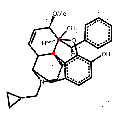 CO[C@]12C=CC3(CC1(C)[C@H](O)c1ccccc1)C1Cc4ccc(O)c5c4[C@@]3(CCN1CC1CC1)[C@@H]2O5